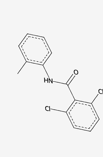 Cc1ccccc1NC(=O)c1c(Cl)cccc1Cl